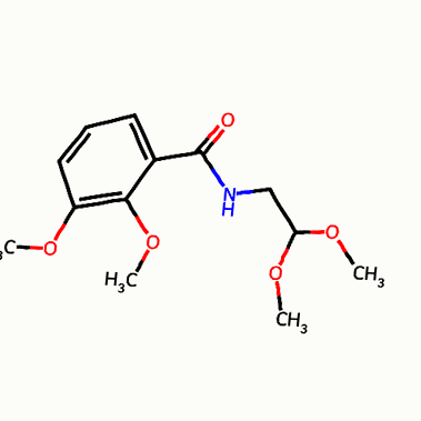 COc1cccc(C(=O)NCC(OC)OC)c1OC